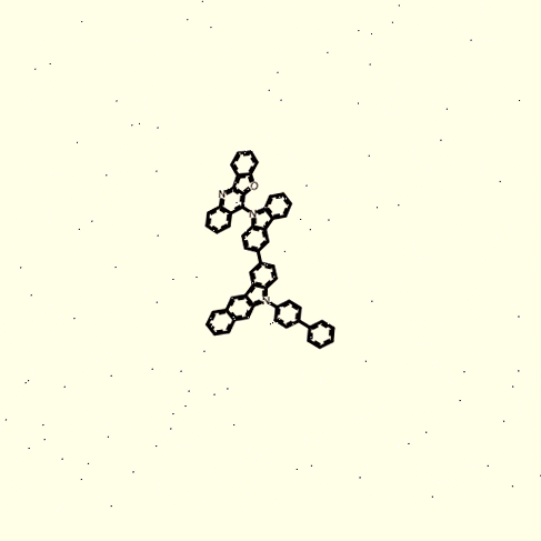 c1ccc(-c2ccc(-n3c4ccc(-c5ccc6c(c5)c5ccccc5n6-c5c6ccccc6nc6c5oc5ccccc56)cc4c4cc5ccccc5cc43)cc2)cc1